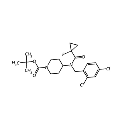 CC(C)(C)OC(=O)N1CCC(N(Cc2ccc(Cl)cc2Cl)C(=O)C2(F)CC2)CC1